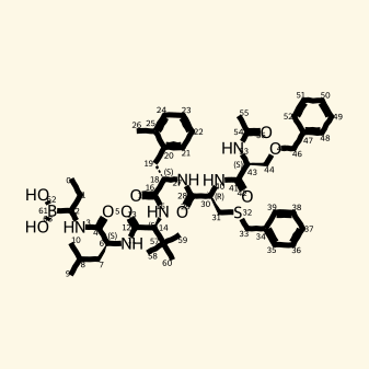 CCC(NC(=O)[C@H](CC(C)C)NC(=O)[C@@H](NC(=O)[C@H](Cc1ccccc1C)NC(=O)[C@H](CSCc1ccccc1)NC(=O)[C@H](COCc1ccccc1)NC(C)=O)C(C)(C)C)B(O)O